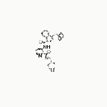 O=C(NCC1CCOCC1)c1ncccc1NC(=O)c1ccc(Cc2ccco2)c2ccccc12